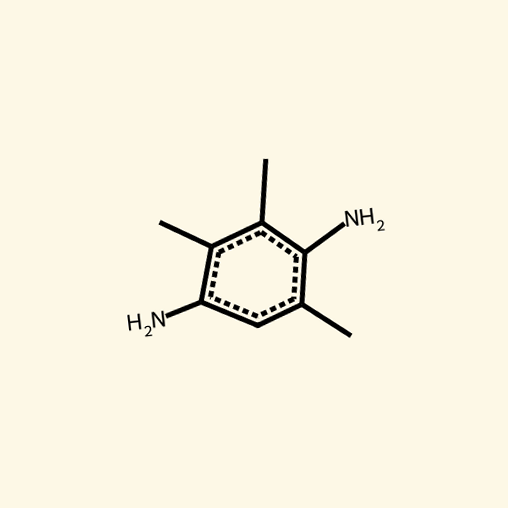 Cc1cc(N)c(C)c(C)c1N